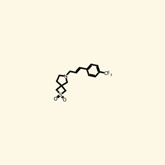 O=S1(=O)CC2(CCN(CC=Cc3ccc(C(F)(F)F)cc3)C2)C1